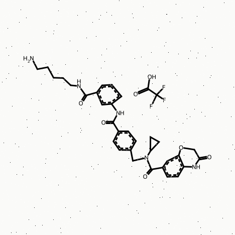 NCCCCCNC(=O)c1cccc(NC(=O)c2ccc(CN(C(=O)c3ccc4c(c3)OCC(=O)N4)C3CC3)cc2)c1.O=C(O)C(F)(F)F